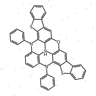 c1ccc(N2c3cccc4c3[SiH]3c5c(cc6c(sc7ccccc76)c52)Oc2cc5c(sc6ccccc65)c(c23)N4c2ccccc2)cc1